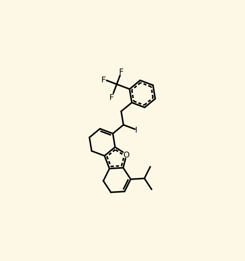 CC(C)C1=CCCc2c1oc1c2CCC=C1C(I)Cc1ccccc1C(F)(F)F